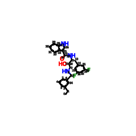 CCc1cccc(CNC[C@H](O)[C@@H](Cc2cc(F)cc(F)c2)NC(=O)c2c[nH]c3ccccc23)c1